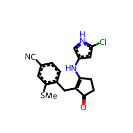 CSc1cc(C#N)ccc1CC1=C(Nc2c[nH]c(Cl)c2)CCC1=O